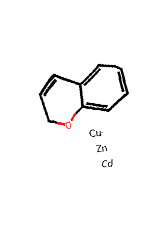 C1=Cc2ccccc2OC1.[Cd].[Cu].[Zn]